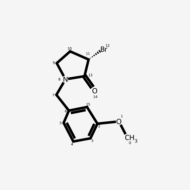 COc1cccc(CN2CC[C@H](Br)C2=O)c1